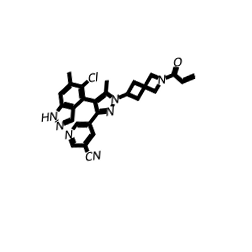 C=CC(=O)N1CC2(CC(n3nc(-c4cncc(C#N)c4)c(-c4c(Cl)c(C)cc5[nH]ncc45)c3C)C2)C1